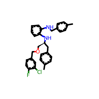 Cc1ccc(CNc2ccccc2N[C@H](COCc2ccc(F)c(Cl)c2)Cc2ccc(C)cc2)cc1